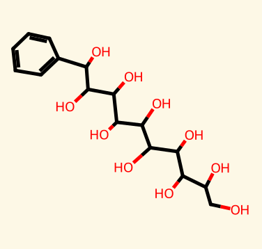 OCC(O)C(O)C(O)C(O)C(O)C(O)C(O)C(O)C(O)c1ccccc1